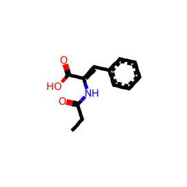 CCC(=O)N/C(=C\c1ccccc1)C(=O)O